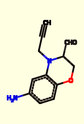 C#CCN1c2cc(N)ccc2OCC1C=O